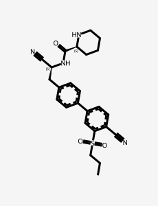 CCCS(=O)(=O)c1cc(-c2ccc(C[C@@H](C#N)NC(=O)[C@@H]3CCCCN3)cc2)ccc1C#N